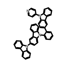 c1ccc(-n2c3ccccc3c3cc(-n4c5ccccc5c5ccccc54)ccc32)c(-c2ccc3c(c2)c2ccccc2n3-c2ccncc2)c1